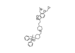 CN(C)Cc1c(OCC2CC2)ccc2c(CCC3CCN(CC4CCC(O[Si](c5ccccc5)(c5ccccc5)C(C)(C)C)CC4)CC3)noc12